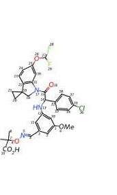 COc1cc(C=NOC(C)(C)C(=O)O)cc(NC(C(=O)N2CC3(CC3)c3ccc(OC(F)F)cc32)c2ccc(Cl)cc2)c1